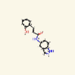 O=C(C=Cc1ccccc1O)Nc1ccc2[nH]ncc2c1